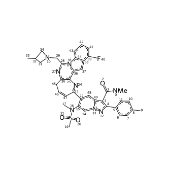 CNC(=O)c1c(-c2ccc(C)cc2)nn2cc(N(C)S(C)(=O)=O)c(C3=Nc4c(nc(CN5CC(C)C5)n5c4cc4c(F)cccc45)CC=C3)cc12